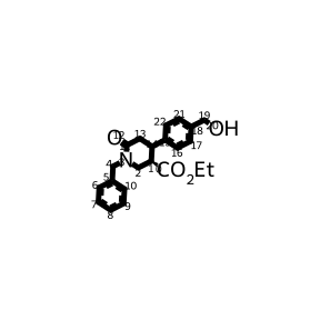 CCOC(=O)[C@H]1CN(Cc2ccccc2)C(=O)CC1c1ccc(CO)cc1